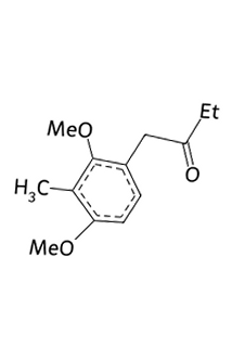 CCC(=O)Cc1ccc(OC)c(C)c1OC